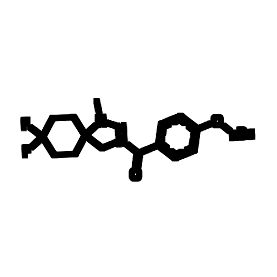 CCCCOc1ccc(C(=O)NCC2(N(C)C)CCC(F)(F)CC2)cc1